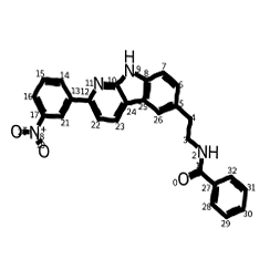 O=C(NCCc1ccc2[nH]c3nc(-c4cccc([N+](=O)[O-])c4)ccc3c2c1)c1ccccc1